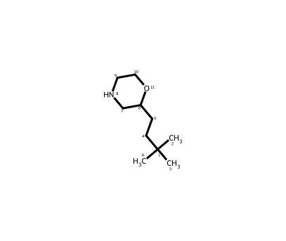 CC(C)(C)CCC1CNCCO1